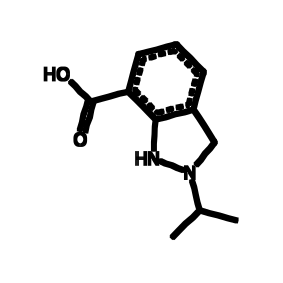 CC(C)N1Cc2cccc(C(=O)O)c2N1